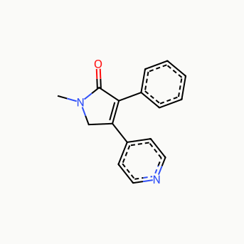 CN1CC(c2ccncc2)=C(c2ccccc2)C1=O